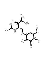 CC(C)N[C@@H](CSC1OC(CO)C(O)C(O)C1O)C(=O)C(C)C